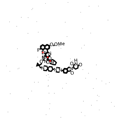 CCc1c(F)ccc2cc(OCOC)cc(-c3ncc4c(N5CC6CCC(C5)N6C(=O)OC(C)(C)C)nc(OCC5(CN6CCC7(CCC(N8CCN(c9ccc%10c(c9)CN([C@H]9CCC(=O)NC9=O)C%10=O)CC8)CC7)CC6)CC5)nc4c3F)c12